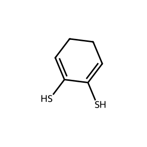 SC1=CCCC=C1S